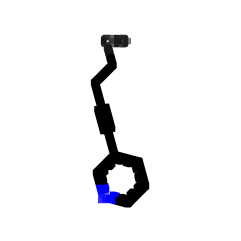 O=[C]CCC#Cc1cccnc1